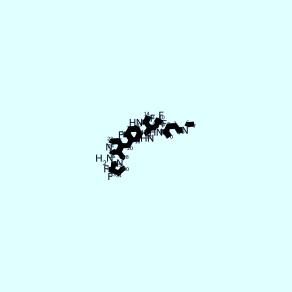 C=C(/C=C\C=N/CC)N/C(=C(\C=N)C(=C)Nc1ccc(Cc2ccnc(N)c2CN2CCC(F)(F)C2)c(F)c1)C(F)(F)F